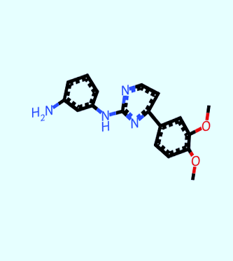 COc1ccc(-c2ccnc(Nc3cccc(N)c3)n2)cc1OC